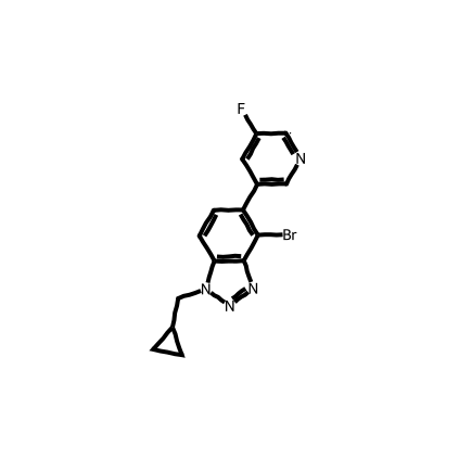 Fc1[c]ncc(-c2ccc3c(nnn3CC3CC3)c2Br)c1